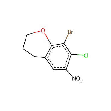 O=[N+]([O-])c1cc2c(c(Br)c1Cl)OCCC2